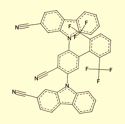 N#Cc1ccc2c3ccccc3n(-c3cc(-c4c(C(F)(F)F)cccc4C(F)(F)F)c(-n4c5ccccc5c5ccc(C#N)cc54)cc3C#N)c2c1